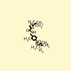 CCC1(C)OB(c2ccc(CNC(=O)c3cnc(C(C)(C)C)s3)c(C)c2)OC1(C)C